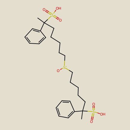 CC(CCCCC[S+]([O-])CCCCCC(C)(c1ccccc1)S(=O)(=O)O)(c1ccccc1)S(=O)(=O)O